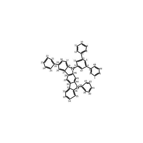 c1ccc(-c2cc(-c3ccccc3)cc(-n3c4ccc(-c5ccccc5)cc4c4cc5c6ccccc6n(-c6ccccc6)c5cc43)c2)cc1